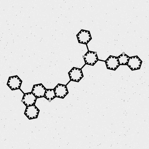 c1ccc(-c2nc(-c3ccc(-c4ccc5oc6c(ccc7c(-c8ccccc8)nc8ccccc8c76)c5c4)cc3)cc(-c3ccc4c(c3)oc3ccccc34)n2)cc1